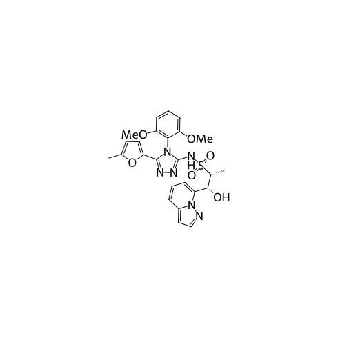 COc1cccc(OC)c1-n1c(NS(=O)(=O)[C@H](C)[C@H](O)c2cccc3ccnn23)nnc1-c1ccc(C)o1